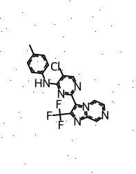 Cc1ccc(Nc2nc(-c3c(C(F)(F)F)nc4cnccn34)ncc2Cl)cc1